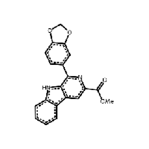 COC(=O)c1cc2c([nH]c3ccccc32)c(-c2ccc3c(c2)OCO3)n1